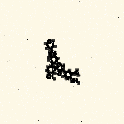 C[C@H]1CCC(c2ccc3sc(C4CCOCC4)nc3c2)N(C(=O)C(=O)Nc2cnc(N)c(C3CC3)c2)C1